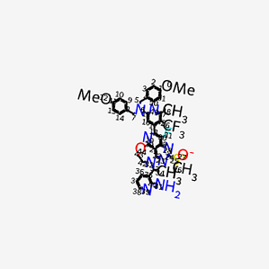 COc1ccc(CN(Cc2ccc(OC)cc2)c2cc(-c3nc4c5c(nc([S+](C)[O-])nc5c3F)N(C(C)c3cccnc3N)CCO4)c(C(F)(F)F)c(C)n2)cc1